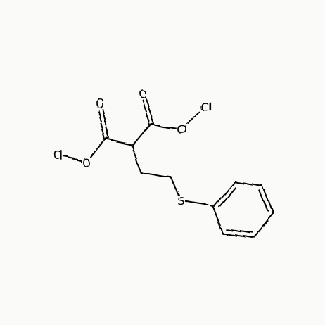 O=C(OCl)C(CCSc1ccccc1)C(=O)OCl